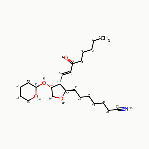 CCCCCC(=O)C=C[C@H]1[C@@H](OC2CCCCO2)CO[C@@H]1CCCCCCC#N